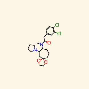 CN(C(=O)Cc1ccc(Cl)c(Cl)c1)C1CCCC2(CC1N1CCCC1)OCCO2